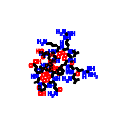 CC(C)C[C@H](NC(=O)[C@H](Cc1ccccc1)NC(=O)[C@H](CCCNC(=N)N)NC(=O)[C@@H](N)C(C)C)C(=O)N[C@@H](CCCNC(=N)N)C(=O)N[C@@H](CCCCN)C(=O)N[C@@H](CCC(=O)O)C(=O)N[C@@H](CC(N)=O)C(=O)N[C@H](C(=O)N[C@H](C(=O)N[C@@H](CCC(N)=O)C(=O)N[C@@H](CC(=O)O)C(=O)N[C@@H](C)C(=O)N[C@@H](CCC(=O)O)C(=O)N[C@@H](CC(=O)O)C(=O)O)[C@@H](C)O)C(C)C